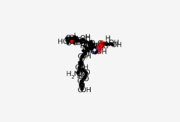 CCN(C(=O)CNC(=O)OCc1ccc(NC(=O)[C@H](CC(N)=O)NC(=O)[C@H](C)NC(=O)[C@H](C)NC(=O)CCC(=O)N2CCC(C(=O)O)CC2)cc1)C1COC(OC2C(O[C@H]3C#C/C=C\C#C[C@]4(O)CC(=O)C(NC(=O)OC)C3/C4=C\CSSC(C)(C)CC(=O)NCC(O)CO)OC(C)C(NOC3CC(O)C(SC(=O)c4c(C)c(I)c(OC5OC(C)C(O)C(OC)C5O)c(OC)c4OC)C(C)O3)C2O)CC1OC